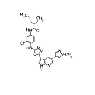 CCCC(CC)C(=O)Nc1ccc(Nc2nnc(-c3c[nH]c4ncc(-c5cnn(C)c5)cc34)o2)c(Cl)c1